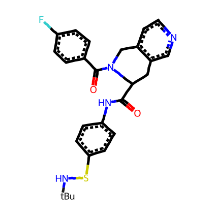 CC(C)(C)NSc1ccc(NC(=O)C2Cc3cnccc3CN2C(=O)c2ccc(F)cc2)cc1